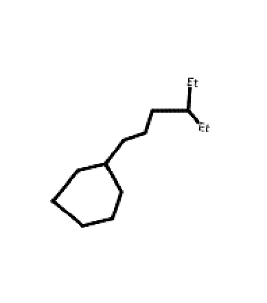 CCC(CC)CCCC1CCCCC1